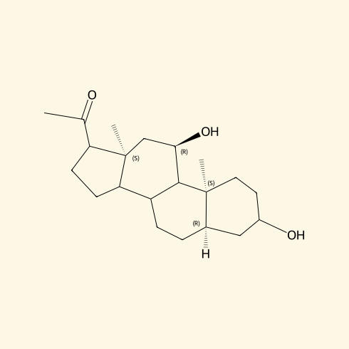 CC(=O)C1CCC2C3CC[C@@H]4CC(O)CC[C@]4(C)C3[C@H](O)C[C@]12C